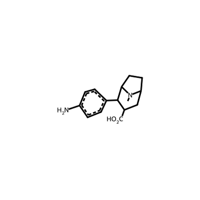 CN1C2CCC1C(c1ccc(N)cc1)C(C(=O)O)C2